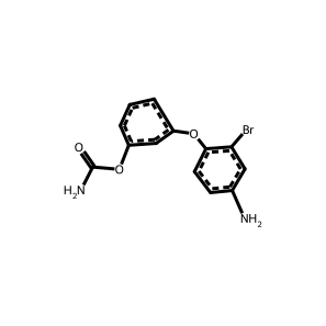 NC(=O)Oc1cccc(Oc2ccc(N)cc2Br)c1